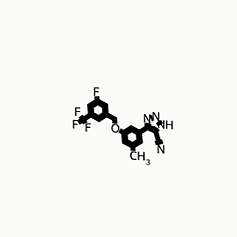 Cc1cc(OCc2cc(F)cc(C(F)(F)F)c2)cc(-c2nn[nH]c2C#N)c1